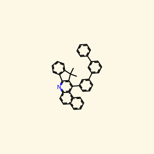 CC1(C)c2ccccc2-c2nc3ccc4ccccc4c3c(-c3cccc(-c4cccc(-c5ccccc5)c4)c3)c21